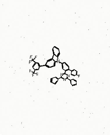 Fc1ccc(-c2ccc(-n3c4ccccc4c4cc(-c5cc(C(F)(F)F)cc(C(F)(F)F)c5)ccc43)cc2-c2nc(-c3ccccc3)nc(-c3ccccc3)n2)cc1